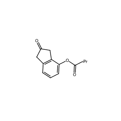 CC(C)C(=O)Oc1cccc2c1CC(=O)C2